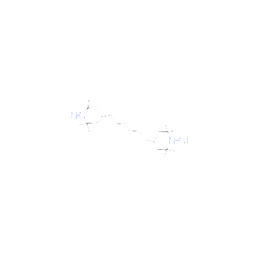 CC1(C)CC(CCCCCCC2CC(C)(C)N(N)C(C)(C)C2)CC(C)(C)N1N